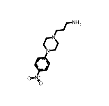 NCCCN1CCN(c2ccc([N+](=O)[O-])cc2)CC1